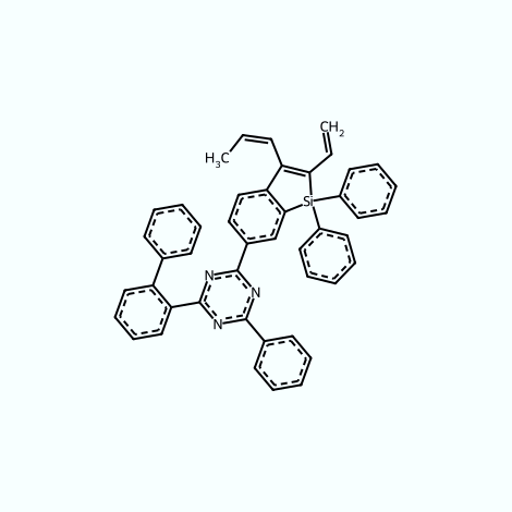 C=CC1=C(/C=C\C)c2ccc(-c3nc(-c4ccccc4)nc(-c4ccccc4-c4ccccc4)n3)cc2[Si]1(c1ccccc1)c1ccccc1